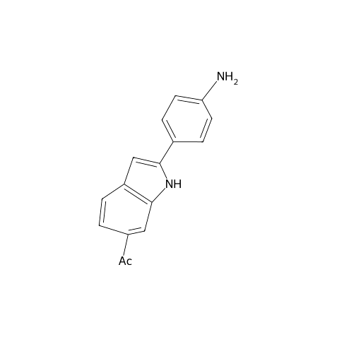 CC(=O)c1ccc2cc(-c3ccc(N)cc3)[nH]c2c1